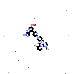 CCOc1cc(-c2ccc(N3CCC(CN4CCN(CC)CC4)(NC(=O)c4ncccc4Cl)CC3)nc2)c2c3cn[nH]c3nn2c1